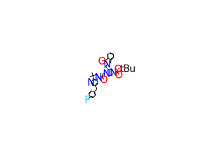 C[C@@H]1CN(CC(=O)N2CC(C)(C)c3ncc(Cc4ccc(F)cc4)cc32)[C@@H](CN2Cc3ccccc3C2=O)CN1C(=O)OC(C)(C)C